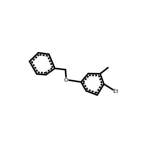 [CH2]Cc1ccc(OCc2ccccc2)cc1C